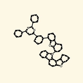 c1ccc(-c2cc(-c3cccc(-c4cccc5c4oc4c(-n6c7ccccc7c7ccc8oc9ccccc9c8c76)cccc45)c3)nc(-c3ccccc3)n2)cc1